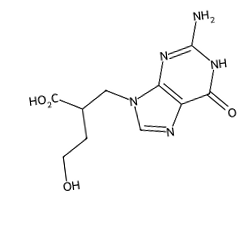 Nc1nc2c(ncn2CC(CCO)C(=O)O)c(=O)[nH]1